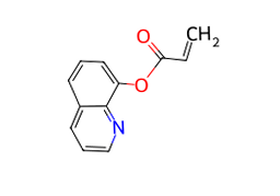 C=CC(=O)Oc1cccc2cccnc12